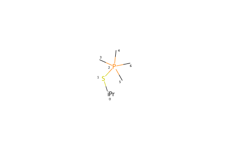 CC(C)SP(C)(C)(C)C